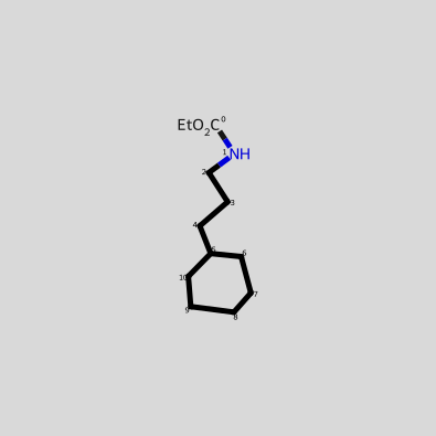 CCOC(=O)NCCCC1CCCCC1